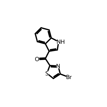 O=C(c1nc(Br)cs1)c1c[nH]c2ccccc12